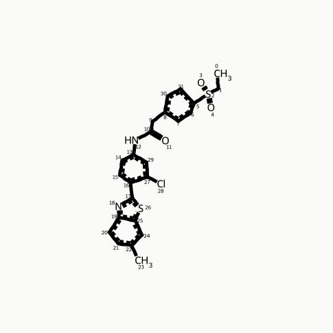 CCS(=O)(=O)c1ccc(CC(=O)Nc2ccc(-c3nc4ccc(C)cc4s3)c(Cl)c2)cc1